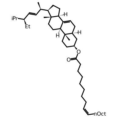 CCCCCCCC/C=C\CCCCCCCC(=O)O[C@H]1CC[C@@]2(C)[C@@H](CC=C3[C@@H]2CC[C@]2(C)[C@@H]([C@H](C)C=C[C@@H](CC)C(C)C)CC[C@@H]32)C1